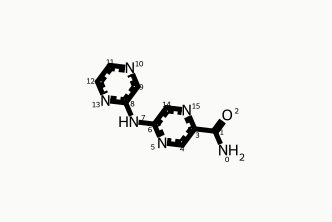 NC(=O)c1cnc(Nc2cnccn2)cn1